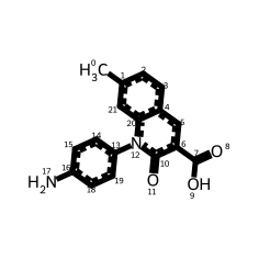 Cc1ccc2cc(C(=O)O)c(=O)n(-c3ccc(N)cc3)c2c1